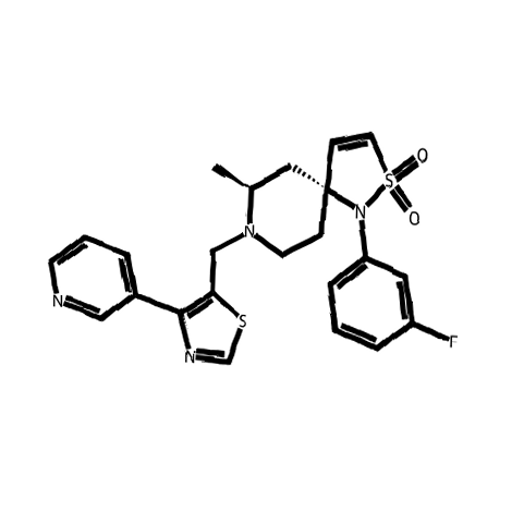 C[C@H]1C[C@@]2(C=CS(=O)(=O)N2c2cccc(F)c2)CCN1Cc1scnc1-c1cccnc1